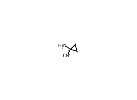 [C-]#[N+]C1(N)CC1